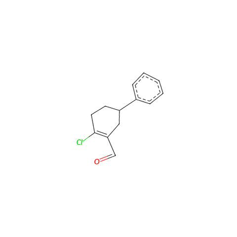 O=CC1=C(Cl)CCC(c2ccccc2)C1